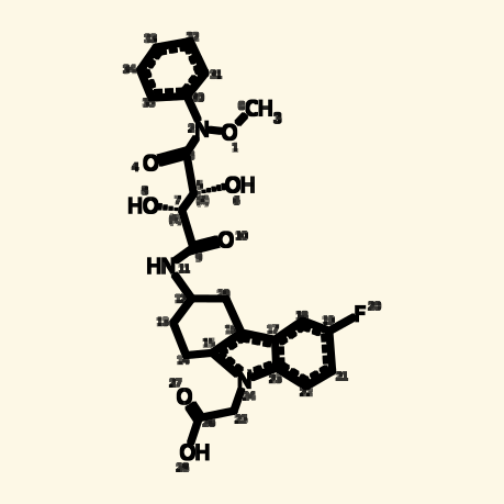 CON(C(=O)[C@H](O)[C@@H](O)C(=O)NC1CCc2c(c3cc(F)ccc3n2CC(=O)O)C1)c1ccccc1